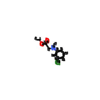 CCOC(=O)CN(C)c1cccc(Cl)c1